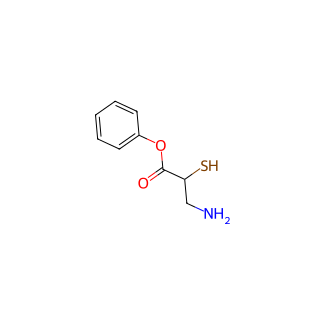 NCC(S)C(=O)Oc1ccccc1